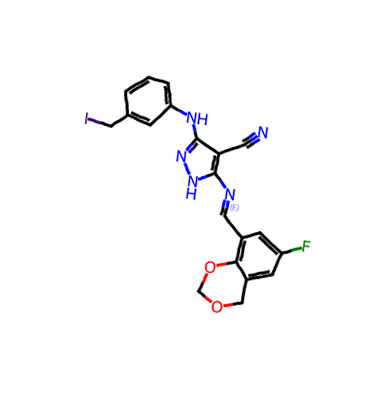 N#Cc1c(Nc2cccc(CI)c2)n[nH]c1/N=C/c1cc(F)cc2c1OCOC2